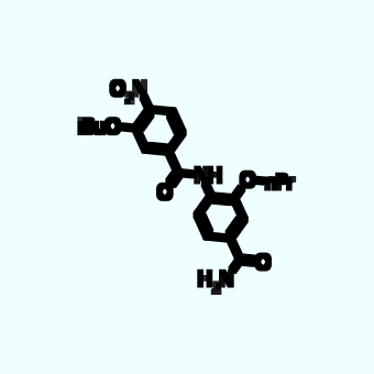 CCCOc1cc(C(N)=O)ccc1NC(=O)c1ccc([N+](=O)[O-])c(OCC(C)C)c1